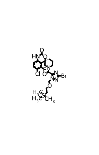 C[Si](C)(C)CCOCn1nc(Br)nc1C(=O)N1CCC[C@@]2(C1)OC(=O)Nc1ccc(Cl)c(F)c12